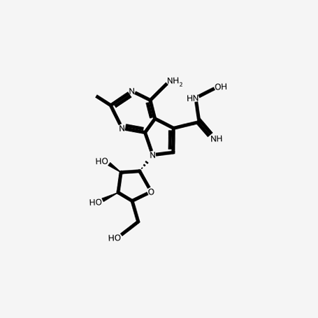 Cc1nc(N)c2c(C(=N)NO)cn([C@@H]3OC(CO)[C@@H](O)[C@H]3O)c2n1